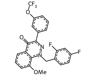 COc1cccc2c(=O)c(-c3cccc(OC(F)(F)F)c3)nn(Cc3ccc(F)cc3F)c12